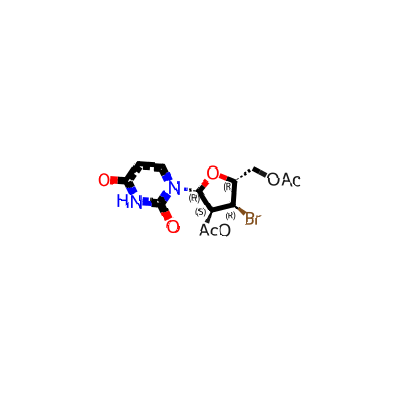 CC(=O)OC[C@H]1O[C@@H](n2ccc(=O)[nH]c2=O)[C@H](OC(C)=O)[C@@H]1Br